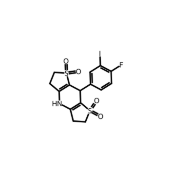 O=S1(=O)CCC2=C1C(c1ccc(F)c(I)c1)C1=C(CCS1(=O)=O)N2